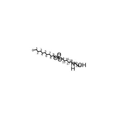 CCCCCCCCCCOC(=O)OCCCCCNCCO